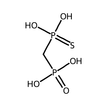 O=P(O)(O)CP(O)(O)=S